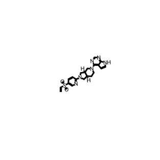 C=CS(=O)(=O)c1ccc(N2C[C@H]3CCN(c4ncnc5[nH]ccc45)C[C@H]3C2)nc1